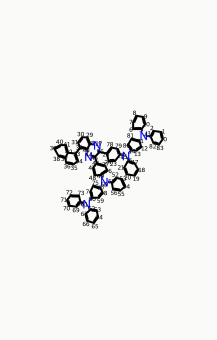 c1ccc(N(c2ccccc2)c2ccc(N(c3ccccc3)c3ccc(-c4nc5cccc(-c6cccc7ccccc67)c5nc4-c4ccc(N(c5ccccc5)c5ccc(N(c6ccccc6)c6ccccc6)cc5)cc4)cc3)cc2)cc1